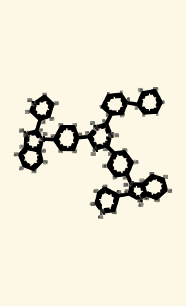 c1ccc(-c2cccc(-c3nc(-c4ccc(-n5c(-c6cccnc6)nc6ccccc65)cc4)nc(-c4ccc(-n5c(-c6cccnc6)nc6ccccc65)cc4)n3)c2)cc1